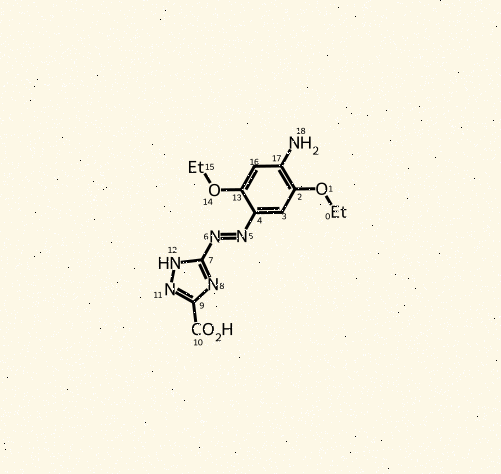 CCOc1cc(/N=N/c2nc(C(=O)O)n[nH]2)c(OCC)cc1N